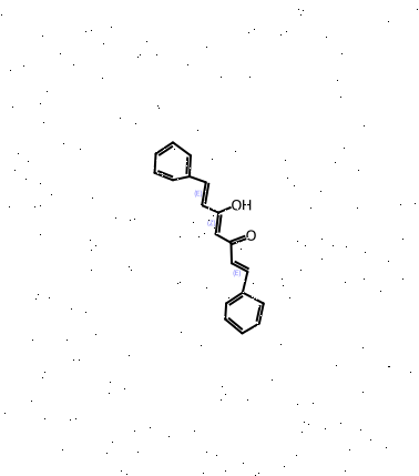 O=C(/C=C(O)/C=C/c1ccccc1)/C=C/c1ccccc1